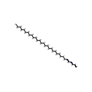 [CH]=C/C=C/C=C/CCCCCCCCCCCCCCCCCCCCCCCCCC